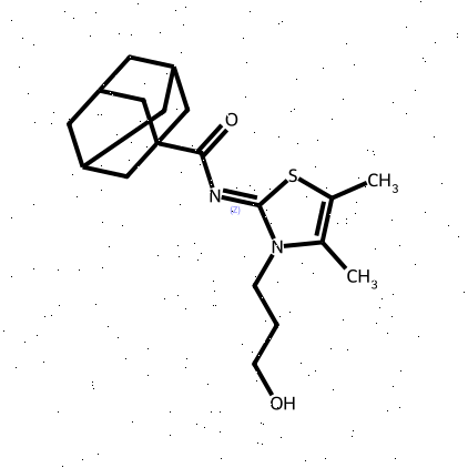 Cc1s/c(=N\C(=O)C23CC4CC(CC(C4)C2)C3)n(CCCO)c1C